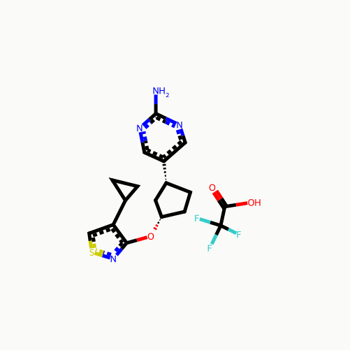 Nc1ncc([C@@H]2CC[C@H](Oc3nscc3C3CC3)C2)cn1.O=C(O)C(F)(F)F